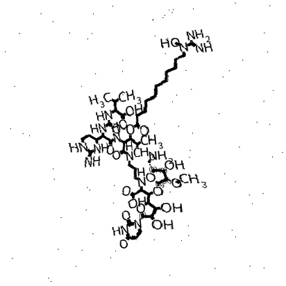 CO[C@H]1[C@H](OC(C(NCCCNC(=O)C(NC(=O)C(NC(=O)NC(C(=O)O)C(C)C)C2CCNC(=N)N2)C(OC(=O)CCCCCCCCCCN(O)C(=N)N)C(C)C)C(=O)O)C2O[C@@H](n3ccc(=O)[nH]c3=O)C(O)C2O)O[C@H](CN)[C@H]1O